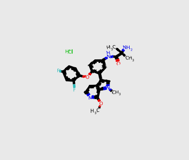 COc1nccc2c(-c3cc(NC(=O)C(C)(C)N)ccc3Oc3ccc(F)cc3F)cn(C)c12.Cl